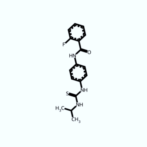 CC(C)NC(=S)Nc1ccc(NC(=O)c2ccccc2F)cc1